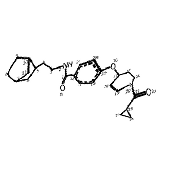 O=C(NCCC1CC2CCC1C2)c1ccc(OC2CCN(C(=O)C3CC3)CC2)cc1